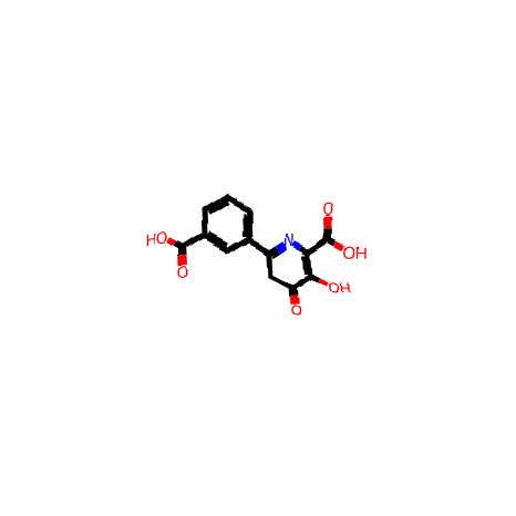 O=C(O)C1=C(O)C(=O)CC(c2cccc(C(=O)O)c2)=N1